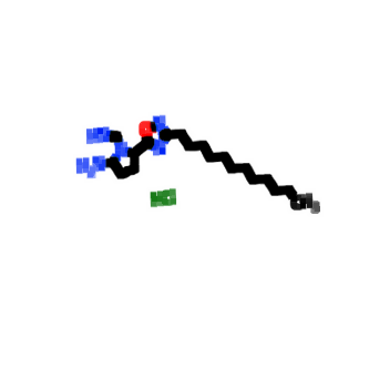 CCCCCCCCCCCCc1noc(C2CCC(N)N2C=N)n1.Cl